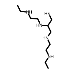 CCNCCNCC(CS)NCCNCC